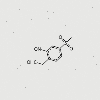 CS(=O)(=O)c1ccc(CC=O)c(N=O)c1